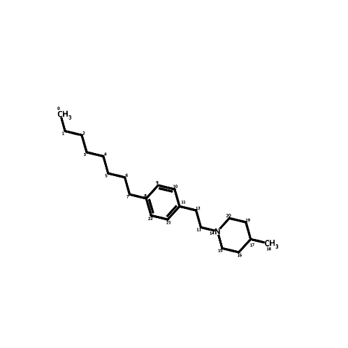 CCCCCCCCc1ccc(CCN2CCC(C)CC2)cc1